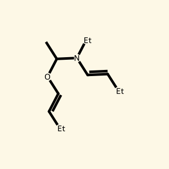 CCC=COC(C)N(C=CCC)CC